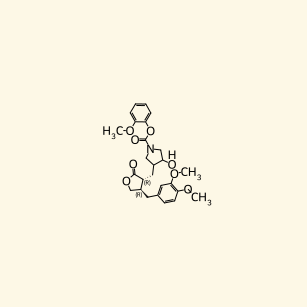 COc1ccc(C[C@H]2COC(=O)[C@@H]2CC2CN(C(=O)Oc3ccccc3OC)CC2O)cc1OC